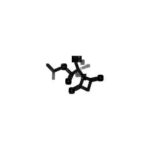 CC(C)OC(=O)[C@@](C)(N)N1C(=O)CC1=O